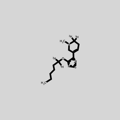 [2H]C([2H])(CCCCC)Oc1nsnc1C1=CCC([2H])([2H])N(C)C1